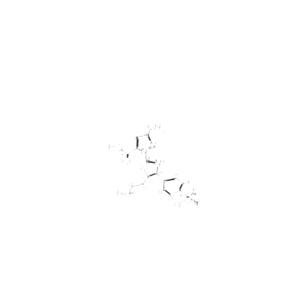 Cc1cc(C(=O)O)n(-c2nc(-c3ccc(C(F)(F)F)cc3)c(CCO)s2)n1